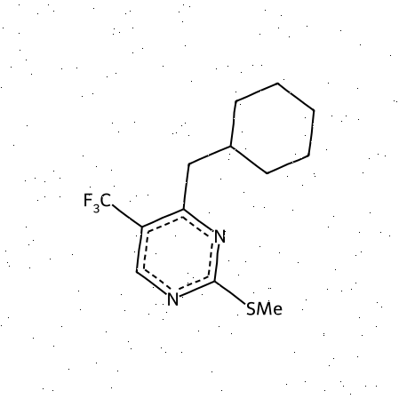 CSc1ncc(C(F)(F)F)c(CC2CCCCC2)n1